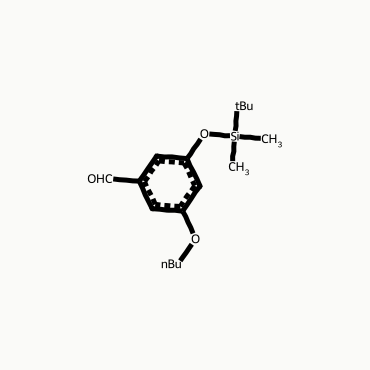 CCCCOc1cc(C=O)cc(O[Si](C)(C)C(C)(C)C)c1